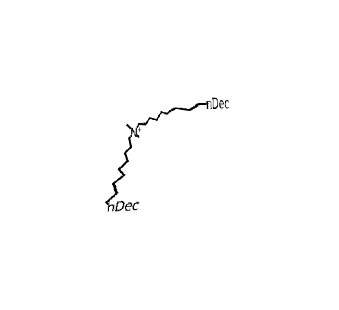 CCCCCCCCCCCCCCCCCCC[N+](C)(C)CCCCCCCCCCCCCCCCCCC